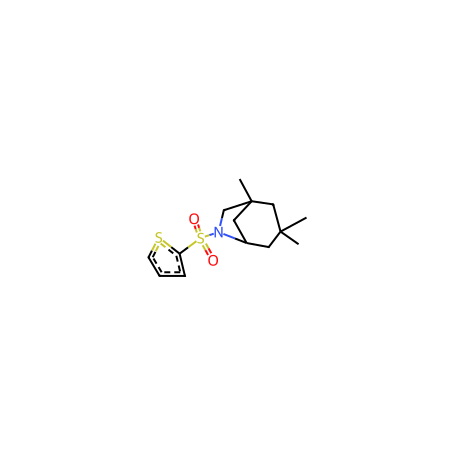 CC1(C)CC2CC(C)(CN2S(=O)(=O)c2cccs2)C1